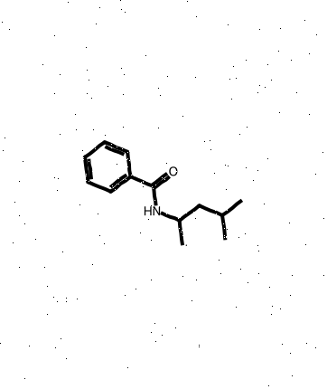 [CH2]C(CC(C)C)NC(=O)c1ccccc1